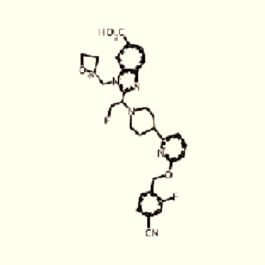 N#Cc1ccc(COc2cccc(C3CCN(C(CF)c4nc5ccc(C(=O)O)cc5n4C[C@@H]4CCO4)CC3)n2)c(F)c1